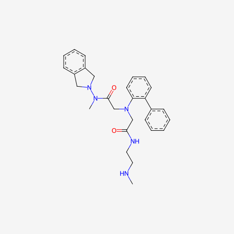 CNCCNC(=O)CN(CC(=O)N(C)N1Cc2ccccc2C1)c1ccccc1-c1ccccc1